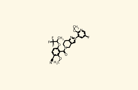 COc1ncc(F)cc1-n1cc2c(n1)CCN(C(=O)c1c(OC(C)C(F)(F)F)ccc(C#N)c1OC)C2